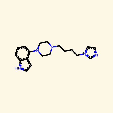 c1cc(N2CCN(CCCCn3ccnc3)CC2)c2cc[nH]c2c1